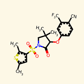 Cc1cc(S(=O)(=O)N2CC(C)(C)C(Oc3ccc(C#N)c(C(F)(F)F)c3)C2=O)c(C)s1